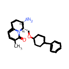 Cc1ccc2n(c1=O)[C@@H](COC1CCC(c3ccccc3)CC1)[C@@H](N)CC2